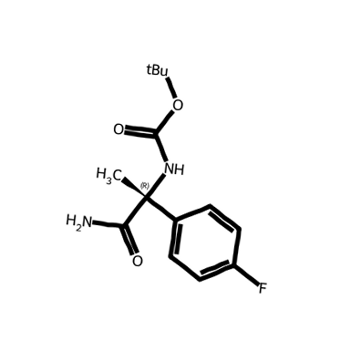 CC(C)(C)OC(=O)N[C@@](C)(C(N)=O)c1ccc(F)cc1